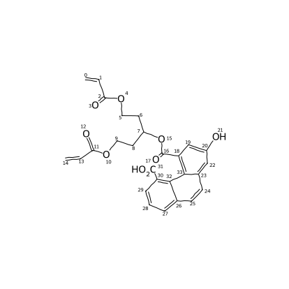 C=CC(=O)OCCC(CCOC(=O)C=C)OC(=O)c1cc(O)cc2ccc3cccc(C(=O)O)c3c12